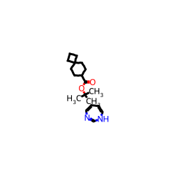 C1=CN=CNC=C1.CC(C)(C)OC(=O)C1CCC2(CCC2)CC1